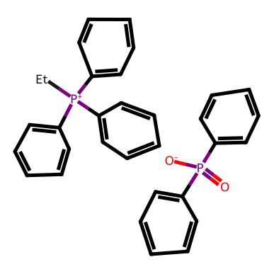 CC[P+](c1ccccc1)(c1ccccc1)c1ccccc1.O=P([O-])(c1ccccc1)c1ccccc1